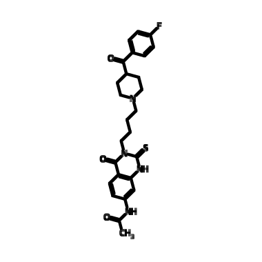 CC(=O)Nc1ccc2c(=O)n(CCCCN3CCC(C(=O)c4ccc(F)cc4)CC3)c(=S)[nH]c2c1